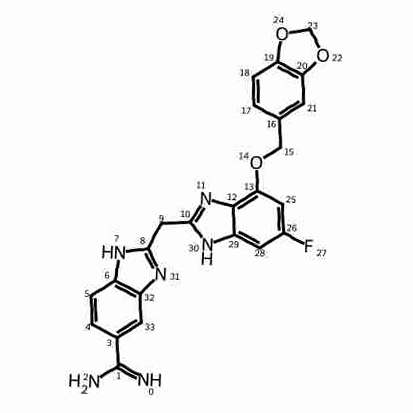 N=C(N)c1ccc2[nH]c(Cc3nc4c(OCc5ccc6c(c5)OCO6)cc(F)cc4[nH]3)nc2c1